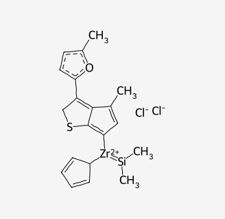 CC1=C[C]([Zr+2]([CH]2C=CC=C2)=[Si](C)C)=C2SCC(c3ccc(C)o3)=C12.[Cl-].[Cl-]